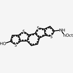 CCCCCCCCNc1cc2sc3c(ccc4c5sc(O)cc5sc43)c2s1